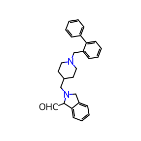 O=CC1c2ccccc2CN1CC1CCN(Cc2ccccc2-c2ccccc2)CC1